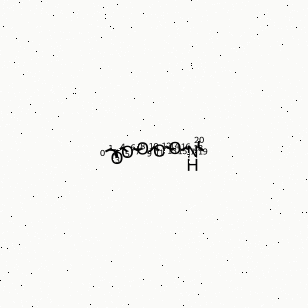 CCC(=O)COCCOCCOCCOCCNC(C)C